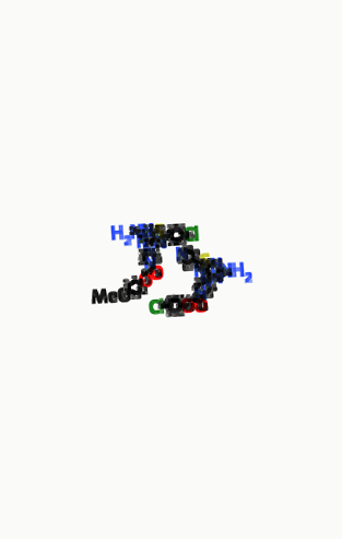 COc1ccc(OCC(=O)N2CCN(c3nc(N)nc4sc(-c5ccc(Cl)cc5)nc34)CC2)cc1.Nc1nc(N2CCN(C(=O)COc3ccc(Cl)cc3)CC2)c2nc(-c3ccncc3)sc2n1